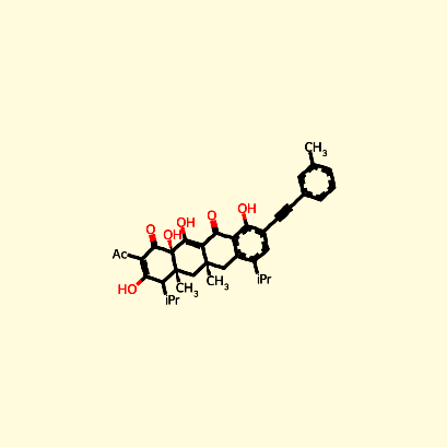 CC(=O)C1=C(O)C(C(C)C)[C@@]2(C)C[C@@]3(C)Cc4c(C(C)C)cc(C#Cc5cccc(C)c5)c(O)c4C(=O)C3=C(O)[C@@]2(O)C1=O